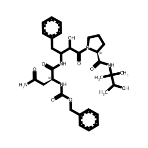 CC(O)C(C)(C)NC(=O)[C@@H]1CCCN1C(=O)C(O)C(Cc1ccccc1)NC(=O)[C@H](CC(N)=O)NC(=O)OCc1ccccc1